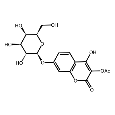 CC(=O)Oc1c(O)c2ccc(O[C@@H]3O[C@H](CO)[C@H](O)[C@H](O)[C@H]3O)cc2oc1=O